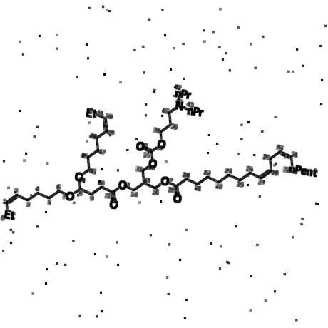 CC/C=C\CCCCOC(CCC(=O)OCC(COC(=O)CCCCCCC/C=C\C/C=C\CCCCC)COC(=O)OCCCN(CCC)CCC)OCCCC/C=C\CC